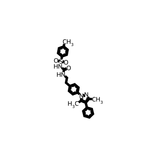 Cc1ccc(S(=O)(=O)NC(=O)NCCc2ccc(-n3nc(C)c(-c4ccccc4)c3C)cc2)cc1